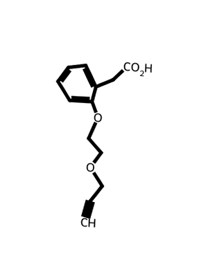 C#CCOCCOc1ccccc1CC(=O)O